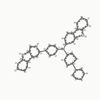 c1ccc(-c2ccc(N(c3ccc(-c4cc5c(cn4)sc4ccccc45)cc3)c3ccc4c(c3)oc3ccccc34)cc2)cc1